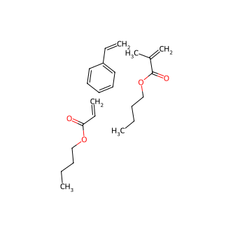 C=C(C)C(=O)OCCCC.C=CC(=O)OCCCC.C=Cc1ccccc1